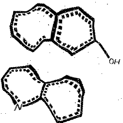 Oc1ccc2ccccc2c1.c1ccc2ncccc2c1